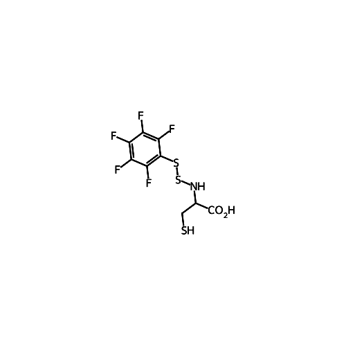 O=C(O)C(CS)NSSc1c(F)c(F)c(F)c(F)c1F